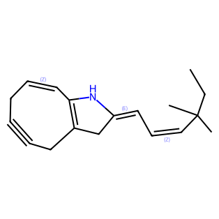 CCC(C)(C)/C=C\C=C1/CC2=C(/C=C\CC#CC2)N1